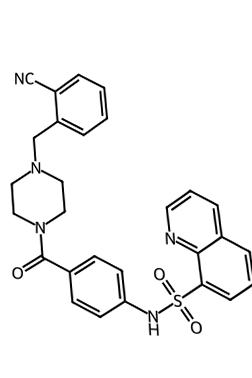 N#Cc1ccccc1CN1CCN(C(=O)c2ccc(NS(=O)(=O)c3cccc4cccnc34)cc2)CC1